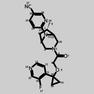 C[C@H]1CC2CN(C(=O)COC3(c4ccncc4F)CC3)CC1N2c1ccc(C#N)cn1